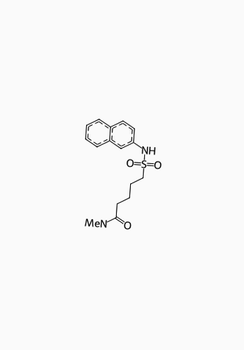 CNC(=O)CCCCS(=O)(=O)Nc1ccc2ccccc2c1